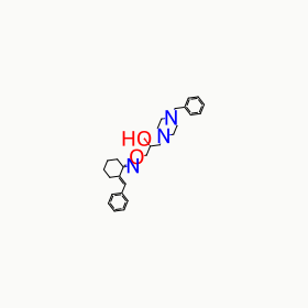 O[C@H](CO/N=C1\CCCC\C1=C/c1ccccc1)CN1CCN(Cc2ccccc2)CC1